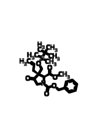 C=CC[C@]1(CO[Si](C)(C)C(C)(C)C)C(=O)CN(C(=O)OCc2ccccc2)[C@@H]1C(=O)OC